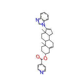 CC12CCC(OC(=O)c3ccncc3)CC1=CCC1C2CCC2(C)C(n3cnc4ccccc43)=CCC12